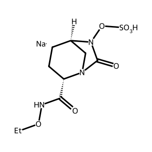 CCONC(=O)[C@@H]1CC[C@@H]2CN1C(=O)N2OS(=O)(=O)O.[Na]